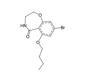 CCCCOc1cc(Br)cc2c1C(=O)NCCO2